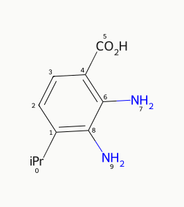 CC(C)c1ccc(C(=O)O)c(N)c1N